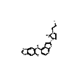 C[C@@H]1[C@@H](c2cc3c(Nc4cc5ncsc5cc4F)ccnc3s2)CCN1CCO